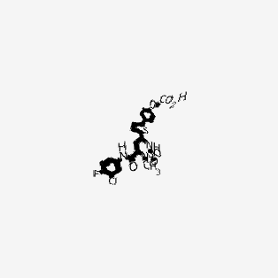 CN1C(C(=O)Nc2ccc(F)c(Cl)c2)CC(c2ccc(-c3ccc(OCC(=O)O)cc3)s2)NS1(=O)=O